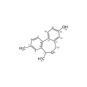 Cc1ccc2c(c1)C(C)OCc1cc(O)ccc1-2